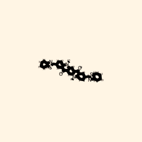 Cn1c2ccc(-c3nc4ccccc4s3)cc2c(=O)c2cc3c(cc21)c(=O)c1cc(-c2nc4ccccc4s2)ccc1n3C